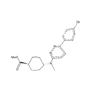 COC(=O)[C@H]1CC[C@H](N(C)c2ccc(-c3ccc(C#N)cc3)nn2)CC1